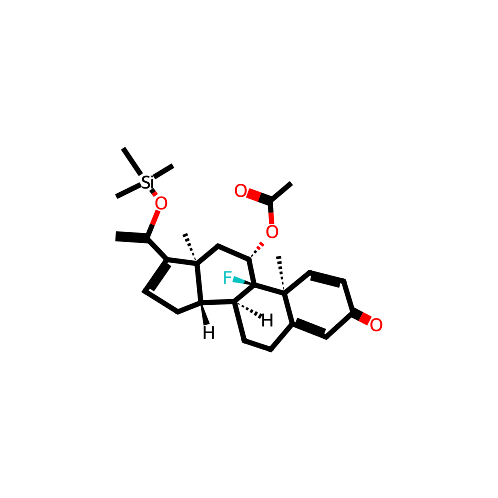 C=C(O[Si](C)(C)C)C1=CC[C@H]2[C@@H]3CCC4=CC(=O)C=C[C@]4(C)[C@@]3(F)[C@@H](OC(C)=O)C[C@]12C